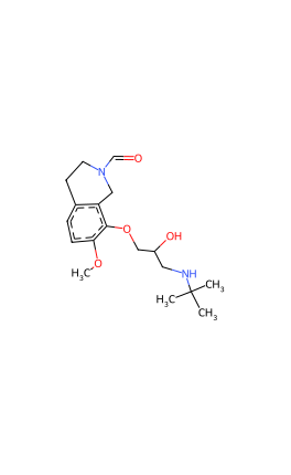 COc1ccc2c(c1OCC(O)CNC(C)(C)C)CN(C=O)CC2